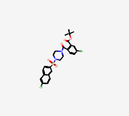 CC(C)(C)OC(=O)c1cc(Br)ccc1C(=O)N1CCN(S(=O)(=O)c2ccc3cc(Cl)ccc3c2)CC1